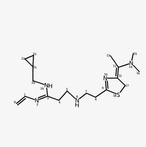 C=C/N=C(/CCNCCC1=N/C(=C(\C)N(C)C)CS1)NCC1CC1